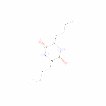 CCCCC1NC(=O)C(CCCC)NC1=O